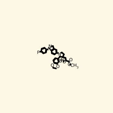 COC(=O)CCC1([N+](=O)[O-])CCN(c2ccc3c(cnn3-c3ccc(F)cc3)c2)C1c1ccc2c(c1)OCCO2